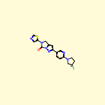 O=C1N(c2cncs2)Cc2cc(-c3ccc(N4CC[C@@H](F)C4)nc3)nn21